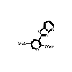 COc1ncc(SC)cc1-c1nc2ncccc2o1